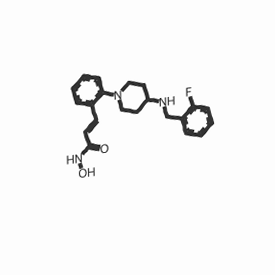 O=C(C=Cc1ccccc1N1CCC(NCc2ccccc2F)CC1)NO